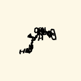 O=C(N[C@@H](CCN(CCCCc1ccc2c(n1)NCCC2)C1CC1)C(=O)O)OCc1ccc(Cl)c(Cl)c1